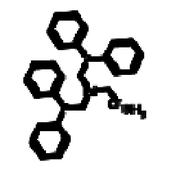 FC(F)(F)[CH2][Pd]([CH2]P(c1ccccc1)c1ccccc1)[CH2]P(c1ccccc1)c1ccccc1.N